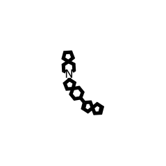 C1=CCC2(C1)CC=C(C1CCC3(CC1)CCC(N1CCC4(CCCC4)CC1)C3)C2